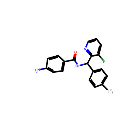 Nc1ccc(C(=O)NC(c2ccc(C(F)(F)F)cc2)c2ncccc2F)cc1